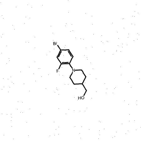 OCC1CCN(c2ccc(Br)cc2F)CC1